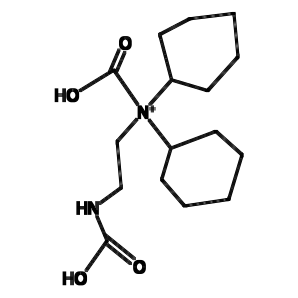 O=C(O)NCC[N+](C(=O)O)(C1CCCCC1)C1CCCCC1